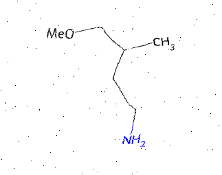 COCC(C)CCN